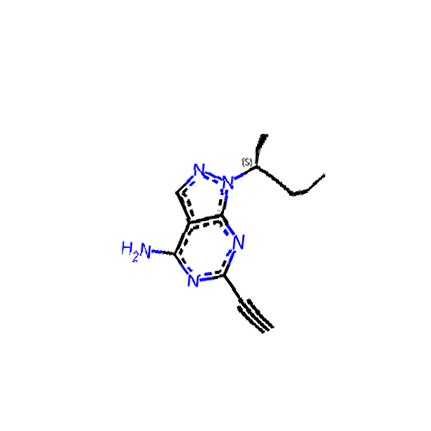 C#Cc1nc(N)c2cnn([C@@H](C)CC)c2n1